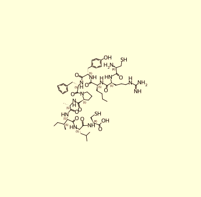 CCCC[C@H](NC(=O)[C@H](CCCNC(=N)N)NC(=O)[C@@H](N)CS)C(=O)N[C@@H](Cc1ccc(O)cc1)C(=O)N[C@@H](Cc1ccccc1)C(=O)N1CCC[C@H]1C(=O)N[C@@H](C)C(=O)N[C@H](C(=O)N[C@@H](CC(C)C)C(=O)N[C@@H](CS)C(=O)O)[C@@H](C)CC